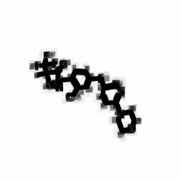 CC(O)(C(=O)Nc1ccc(Sc2ccc(N3CCOCC3)nn2)cc1Cl)C(F)(F)F